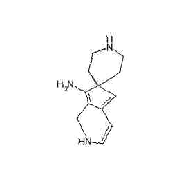 NC1=C2CNC=CC2=CC12CCNCC2